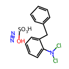 ClN(Cl)c1ccccc1Cc1ccccc1.N#N.O=S(=O)(O)O